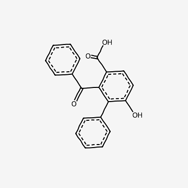 O=C(O)c1ccc(O)c(-c2ccccc2)c1C(=O)c1ccccc1